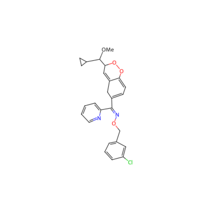 COC(C1CC1)C1C=C2CC(C(=NOCc3cccc(Cl)c3)c3ccccn3)=CC=C2OO1